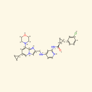 O=C(Nc1cc(NCc2cn3cc(C4CC4)cc(N4CCOCC4)c3n2)ccn1)[C@H]1C[C@@H]1c1cccc(Cl)c1